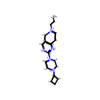 CC(C)CCN1CCc2nc(N3CCN(C4CCC4)CC3)ncc2C1